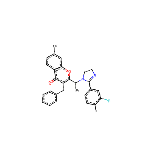 Cc1ccc(C2=NCCN2C(c2oc3cc(C#N)ccc3c(=O)c2Cc2ccccc2)C(C)C)cc1F